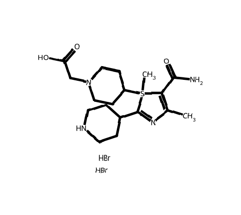 Br.Br.CC1=C(C(N)=O)S(C)(C2CCN(CC(=O)O)CC2)C(C2CCNCC2)=N1